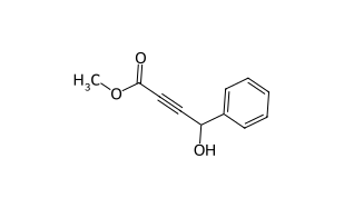 COC(=O)C#CC(O)c1ccccc1